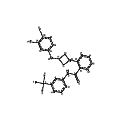 O=C(Nc1cc(C(F)(F)F)ncn1)c1nccnc1N1CC(Oc2ccc(F)c(F)c2)C1